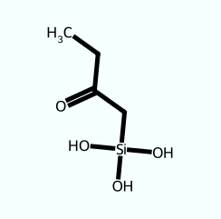 CCC(=O)C[Si](O)(O)O